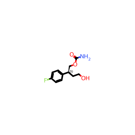 NC(=O)OC[C@@H](CCO)c1ccc(F)cc1